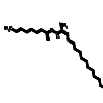 CCCCCCCCCCC=NN=C(N)NOC(=O)CCCCCCC